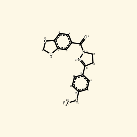 O=C(c1ccc2c(c1)OCO2)N1CCC(c2ccc(OC(F)(F)F)cc2)=N1